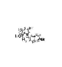 CC(C)(O)c1ccc(Br)cc1Oc1ccc2cc(Br)ccc2c1